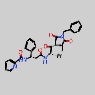 CC(C)[C@H](NC(=O)C[C@H](NC(=O)c1ccccn1)c1ccccc1)C(=O)[C@@H]1C(=O)N(Cc2ccccc2)C(=O)[C@H]1C